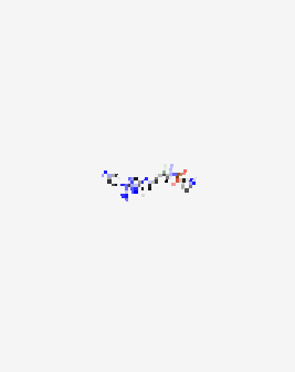 Cc1cc(-c2ccc(NS(=O)(=O)c3cccnc3)c(F)c2)nc2cnc(N[C@H]3CC[C@H](N(C)C)CC3)nc12